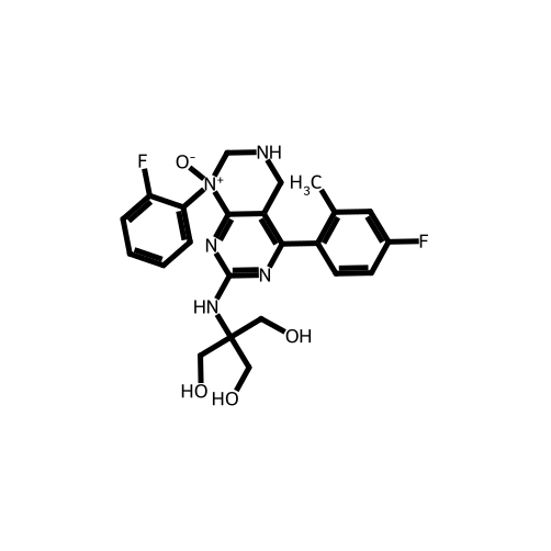 Cc1cc(F)ccc1-c1nc(NC(CO)(CO)CO)nc2c1CNC[N+]2([O-])c1ccccc1F